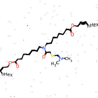 CCCCCC/C=C\COC(=O)CCCCCCCN(CCCCCCCC(=O)OC/C=C\CCCCCC)C(=O)CSCN(C)C